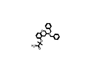 CC(C)(Oc1cccc2c1CC(N(Cc1ccccc1)Cc1ccccc1)CO2)C(N)=O